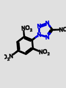 O=[N+]([O-])c1cc([N+](=O)[O-])c(-n2nnc([N+](=O)[O-])n2)c([N+](=O)[O-])c1